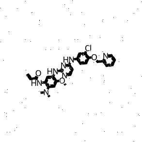 C=CC(=O)Nc1cc(Nc2nccc(Nc3ccc(OCc4ccccn4)c(Cl)c3)n2)c(OC)cc1N(C)C